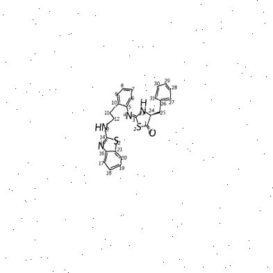 O=C1S/C(=N/c2ccccc2CCNc2nc3ccccc3s2)N[C@H]1Cc1ccccc1